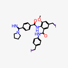 COc1cc(CI)cc(C(=O)Nc2ccc(CI)cc2)c1NC(=O)c1ccc(C(=N)N2CCCC2)cc1